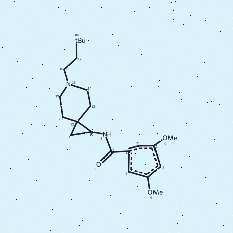 COc1cc(OC)cc(C(=O)NC2CC23CCN(CCC(C)(C)C)CC3)c1